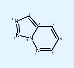 [c]1nnn2ncccc12